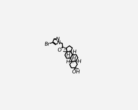 C[C@@]1(O)CC[C@H]2[C@@H](CC[C@@H]3[C@@H]2CC[C@]2(C)[C@@H](C(=O)Cn4cc(Br)cn4)CC[C@@H]32)C1